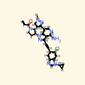 C=CC(=O)N1CC[C@H](n2nc(C#Cc3cc4ncn(C5CC5)c4cc3Cl)c3c(N)ncc(-c4ccn(C)n4)c32)C1